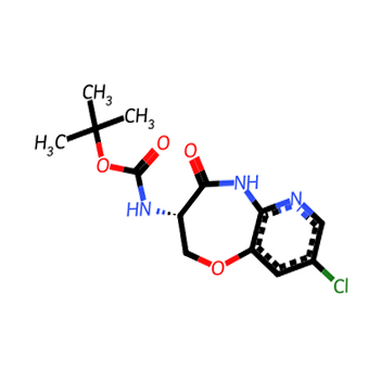 CC(C)(C)OC(=O)N[C@H]1COc2cc(Cl)cnc2NC1=O